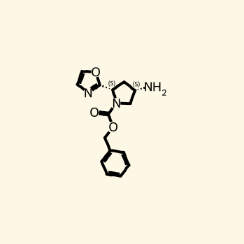 N[C@H]1C[C@@H](c2ncco2)N(C(=O)OCc2ccccc2)C1